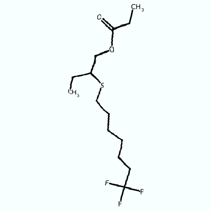 CCC(=O)OCC(CC)SCCCCCCC(F)(F)F